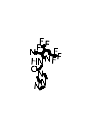 N#Cc1c(C(F)(F)F)cc(C(F)(F)F)nc1NCC(=O)N1CCn2ccnc2C1